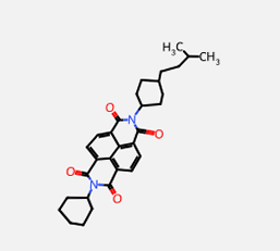 CC(C)CCC1CCC(N2C(=O)c3ccc4c5c(ccc(c35)C2=O)C(=O)N(C2CCCCC2)C4=O)CC1